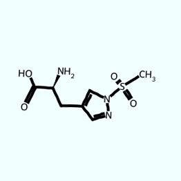 CS(=O)(=O)n1cc(C[C@H](N)C(=O)O)cn1